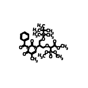 COC(=O)C(OCC(CO[Si](C)(C)C(C)(C)C)n1cc(C)c(=O)n(C(=O)c2ccccc2)c1=O)P(=O)(OC)OC